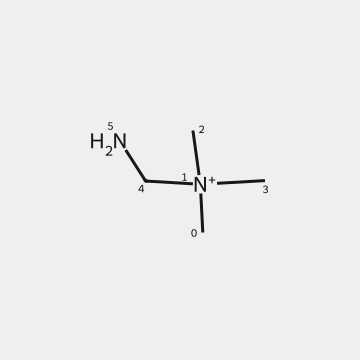 C[N+](C)(C)CN